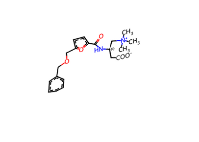 C[N+](C)(C)C[C@@H](CC(=O)[O-])NC(=O)c1ccc(COCc2ccccc2)o1